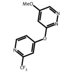 COc1cnnc(Oc2ccnc(C(F)(F)F)c2)c1